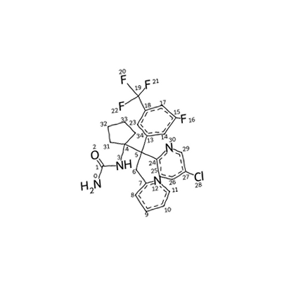 NC(=O)NC1(C(Cc2ccccn2)(c2cc(F)cc(C(F)(F)F)c2)c2ccc(Cl)cn2)CCCC1